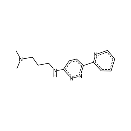 CN(C)CCCNc1ccc(-c2ccccn2)nn1